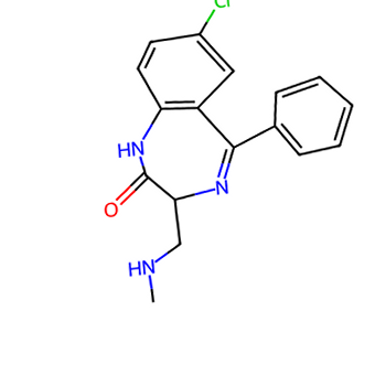 CNCC1N=C(c2ccccc2)c2cc(Cl)ccc2NC1=O